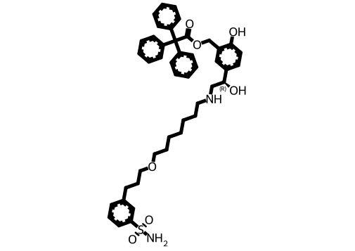 NS(=O)(=O)c1cccc(CCCOCCCCCCCNC[C@H](O)c2ccc(O)c(COC(=O)C(c3ccccc3)(c3ccccc3)c3ccccc3)c2)c1